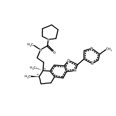 Cc1cnc(-c2nc3cc4c(cc3o2)[C@](C)(CCN(C)C(=O)N2CCCCC2)[C@H](C)CC4)cn1